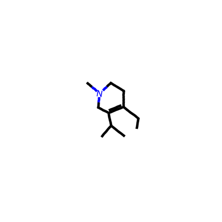 CCC1=C(C(C)C)CN(C)CC1